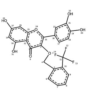 O=c1c(OCc2ccccc2C(F)(F)F)c(-c2ccc(O)c(O)c2)oc2cc(O)cc(O)c12